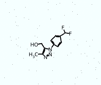 Cc1nnn(-c2ccc(C(F)F)cc2)c1CO